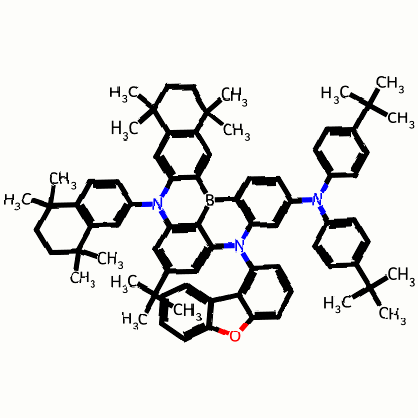 CC(C)(C)c1ccc(N(c2ccc(C(C)(C)C)cc2)c2ccc3c(c2)N(c2cccc4oc5ccccc5c24)c2cc(C(C)(C)C)cc4c2B3c2cc3c(cc2N4c2ccc4c(c2)C(C)(C)CCC4(C)C)C(C)(C)CCC3(C)C)cc1